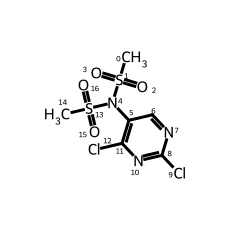 CS(=O)(=O)N(c1cnc(Cl)nc1Cl)S(C)(=O)=O